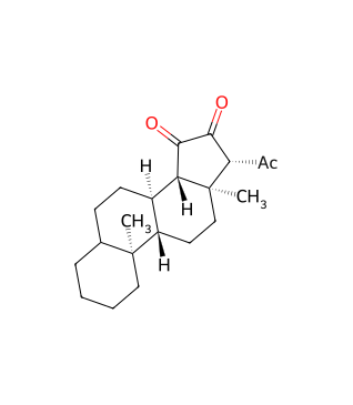 CC(=O)[C@H]1C(=O)C(=O)[C@H]2[C@@H]3CCC4CCCC[C@]4(C)[C@H]3CC[C@]12C